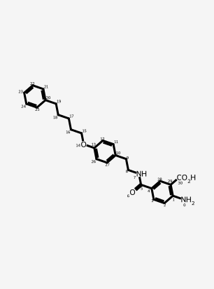 Nc1ccc(C(=O)NCCc2ccc(OCCCCCc3ccccc3)cc2)cc1C(=O)O